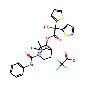 C[C@@H]1C(OC(=O)C(O)(c2cccs2)c2cccs2)C2CC[N+]1(C(=O)Nc1ccccc1)CC2.O=C([O-])C(F)(F)F